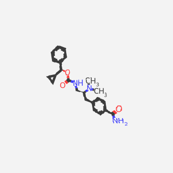 CN(C)[C@H](CNC(=O)O[C@H](c1ccccc1)C1CC1)Cc1ccc(C(N)=O)cc1